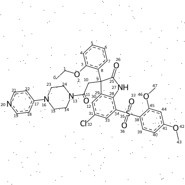 CCOc1ccccc1C1(CC(=O)N2CCN(c3ccncc3)CC2)C(=O)Nc2c1cc(Cl)cc2S(=O)(=O)c1ccc(OC)cc1OC